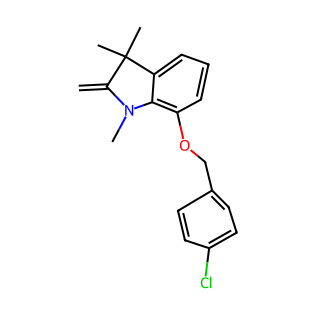 C=C1N(C)c2c(OCc3ccc(Cl)cc3)cccc2C1(C)C